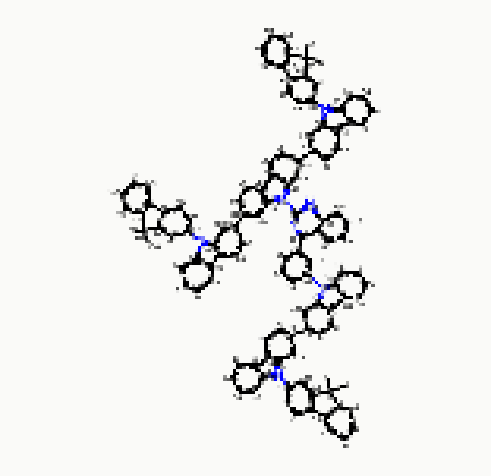 CC1(C)c2ccccc2-c2ccc(-n3c4ccccc4c4ccc(-c5ccc6c7ccccc7n(-c7cccc(-c8nc(-n9c%10cc(-c%11ccc%12c%13ccccc%13n(-c%13ccc%14c(c%13)C(C)(C)c%13ccccc%13-%14)c%12c%11)ccc%10c%10ccc(-c%11ccc%12c%13ccccc%13n(-c%13ccc%14c(c%13)C(C)(C)c%13ccccc%13-%14)c%12c%11)cc%109)nc9ccccc89)c7)c6c5)cc43)cc21